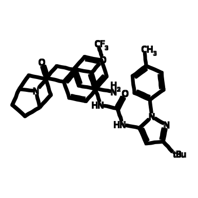 Cc1ccc(-n2nc(C(C)(C)C)cc2NC(=O)Nc2cccc(CC3CC4CCC(C3)N4C(=O)c3ccc(N)c(OC(F)(F)F)c3)c2)cc1